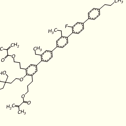 C=C(C)C(=O)OCCCc1cc(-c2ccc(-c3ccc(-c4ccc(-c5ccc(CCC)cc5)cc4F)c(CC)c3)cc2CC)cc(CCCOC(=O)C(=C)C)c1OCCC(CO)(CO)CCCC